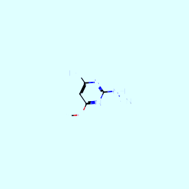 CCCOc1cc(C)nc(NC#N)n1